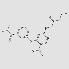 CCOC(=O)COc1ncc([N+](=O)[O-])c(Oc2cccc(C(=O)N(C)C)c2)n1